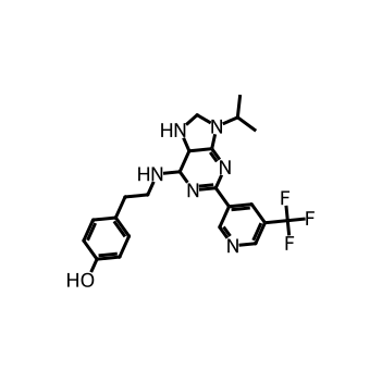 CC(C)N1CNC2C1=NC(c1cncc(C(F)(F)F)c1)=NC2NCCc1ccc(O)cc1